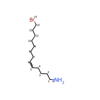 NCCCC/C=C\CCCCCCCBr